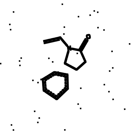 C=CN1CCCC1=O.[c]1ccccc1